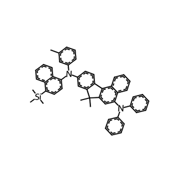 Cc1cccc(N(c2ccc3c(c2)C(C)(C)c2cc(N(c4ccccc4)c4ccccc4)c4ccccc4c2-3)c2ccc([Si](C)(C)C)c3ccccc23)c1